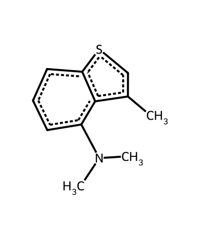 Cc1csc2cccc(N(C)C)c12